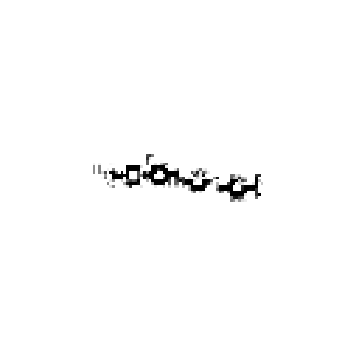 CC(=O)N1CCN(c2ccc(CNc3ccc(OCc4ccc(C(F)F)nc4)nn3)cc2F)CC1